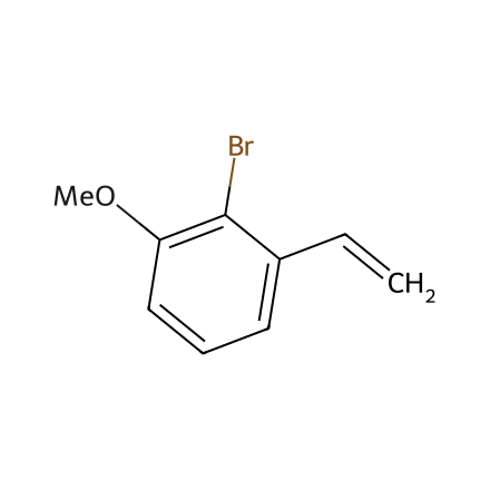 C=Cc1cccc(OC)c1Br